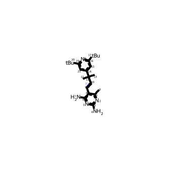 Cc1nc(N)nc(N)c1/C=C/C(C)(C)c1cc(C(C)(C)C)nc(C(C)(C)C)c1